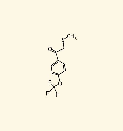 CSCC(=O)c1ccc(OC(F)(F)F)cc1